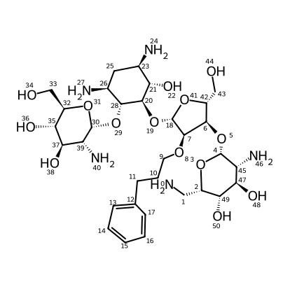 NC[C@@H]1O[C@H](O[C@H]2[C@@H](OCCCc3ccccc3)[C@H](O[C@@H]3[C@@H](O)[C@H](N)C[C@H](N)[C@H]3O[C@H]3O[C@H](CO)[C@@H](O)[C@H](O)[C@H]3N)O[C@@H]2CO)[C@H](N)[C@@H](O)[C@@H]1O